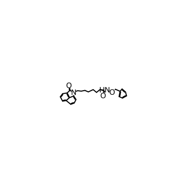 O=C(CCCCCCCN1C(=O)c2cccc3cccc1c23)NOCc1ccccc1